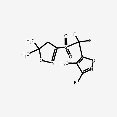 Cc1c(Br)noc1C(F)(F)S(=O)(=O)C1=NOC(C)(C)C1